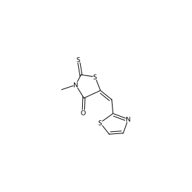 CN1C(=O)/C(=C\c2nccs2)SC1=S